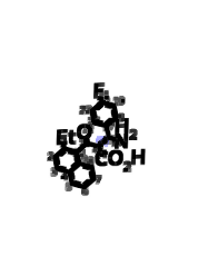 CCc1ccc2ccccc2c1C(=O)/C(C(=O)O)=C(/N)c1ccc(F)cc1